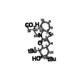 CC(C)(C)c1cc(C=C2Sc3ccccc3N(CCCC(=O)O)C2=O)cc(C(C)(C)C)c1O